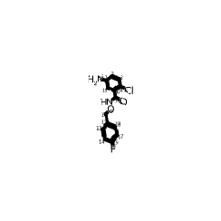 Nc1ccc(Cl)c(C(=O)NOCc2ccc(F)cc2)c1